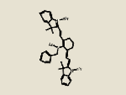 CCCN1/C(=C/C=C2\CCCC(/C=C/C3=[N+](CCC)c4ccccc4C3(C)C)=C2N(Cc2ccccc2)C(C)=O)C(C)(C)c2ccccc21